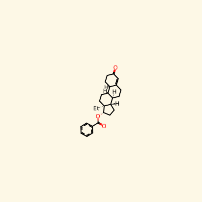 CC[C@]12CC[C@H]3[C@@H](CCC4=CC(=O)CC[C@@H]43)[C@@H]1CC[C@@H]2OC(=O)c1ccccc1